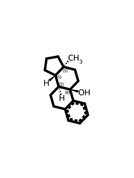 C[C@@]12CCC[C@H]1[C@@H]1CCc3ccccc3[C@@]1(O)CC2